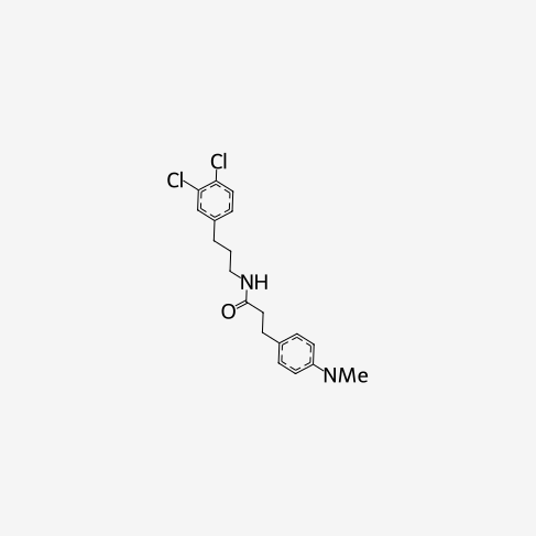 CNc1ccc(CCC(=O)NCCCc2ccc(Cl)c(Cl)c2)cc1